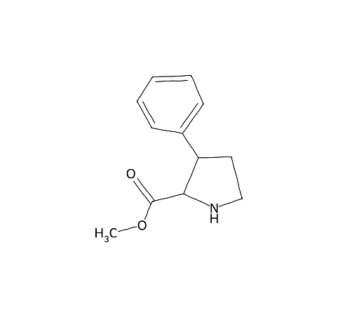 COC(=O)C1NCCC1c1ccccc1